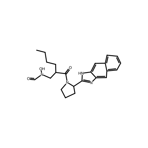 CCCCC(CN(O)C=O)C(=O)N1CCCC1c1nc2cc3ccccc3cc2[nH]1